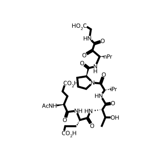 CCC[C@H](NC(=O)[C@@H]1CCCN1C(=O)[C@@H](NC(=O)[C@@H](NC(=O)[C@H](CCC(=O)O)NC(=O)[C@H](CCC(=O)O)NC(C)=O)C(C)O)C(C)C)C(=O)C(=O)NCC(=O)O